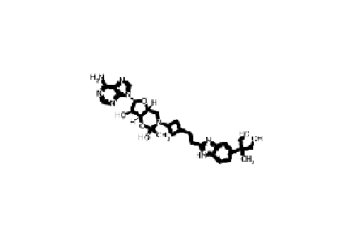 CC(CO)(CO)c1ccc2[nH]c(CCC3CC(N4C[C@H]5O[C@@H](n6cnc7c(N)ncnc76)[C@H](O)[C@@H]5OC4(C)O)C3)nc2c1